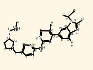 CNC[C@H]1CCN(Cc2cnc(Nc3cc(-c4cc(F)c5nc(C)n(C(C)C)c5c4)c(F)cn3)nc2)C1